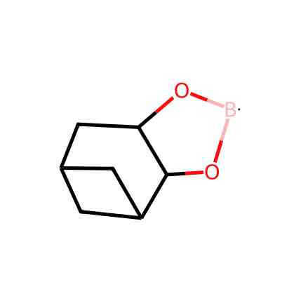 [B]1OC2CC3CC(C3)C2O1